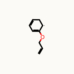 C=CCOC1=CC=CC[CH]1